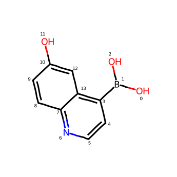 OB(O)c1ccnc2ccc(O)cc12